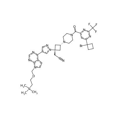 C[Si](C)(C)CCOCn1ccc2c(-c3cnn([C@]4(CC#N)C[C@H](N5CCN(C(=O)c6cc(C7(Br)CCC7)nc(C(F)(F)F)n6)CC5)C4)c3)ncnc21